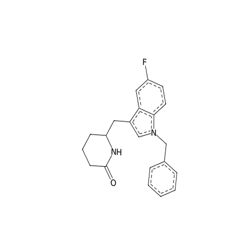 O=C1CCCC(Cc2cn(Cc3ccccc3)c3ccc(F)cc23)N1